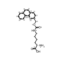 N[C@@H](CCCCNC(=O)OCc1ccc2ccc3ccccc3c2n1)C(=O)O